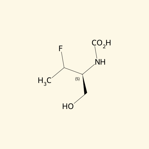 CC(F)[C@H](CO)NC(=O)O